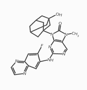 Cn1c(=O)n(C23CC4CC(CC(O)(C4)C2)C3)c2nc(Nc3cc4nccnc4cc3F)ncc21